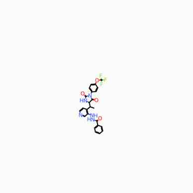 CC(c1ccncc1NNC(=O)c1ccccc1)C1NC(=O)N(c2ccc(OC(F)(F)F)cc2)C1=O